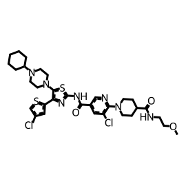 COCCNC(=O)C1CCN(c2ncc(C(=O)Nc3nc(-c4cc(Cl)cs4)c(N4CCN(C5CCCCC5)CC4)s3)cc2Cl)CC1